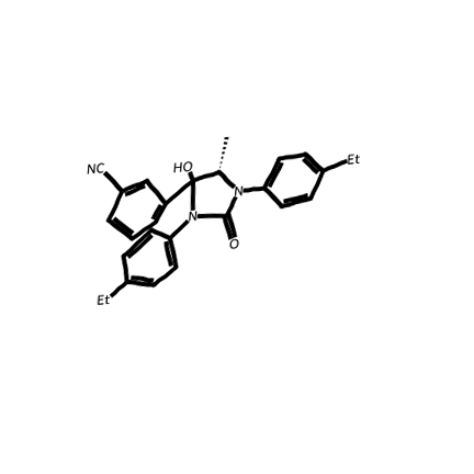 CCc1ccc(N2C(=O)N(c3ccc(CC)cc3)C(O)(c3cccc(C#N)c3)[C@@H]2C)cc1